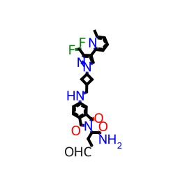 Cc1cccc(-c2cn(C3CC(CNc4ccc5c(c4)C(=O)N(C(CCC=O)C(N)=O)C5=O)C3)nc2C(F)F)n1